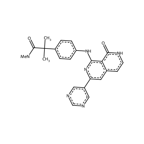 CNC(=O)C(C)(C)c1ccc(Nc2nc(-c3cncnc3)cc3cc[nH]c(=O)c23)cc1